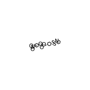 O=C(OCc1ccc(SSc2ccccn2)cc1)Oc1ccc([N+](=O)[O-])cc1